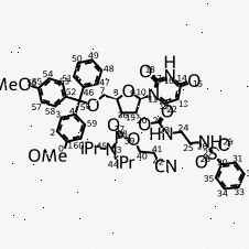 COc1ccc(C(OC[C@H]2O[C@@H](n3ccc(=O)[nH]c3=O)[C@H](OC(=O)NCCNS(=O)(=O)c3ccccc3)[C@@H]2OP(OCCC#N)N(C(C)C)C(C)C)(c2ccccc2)c2ccc(OC)cc2)cc1